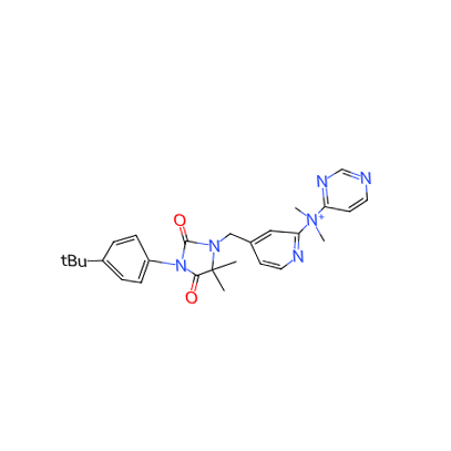 CC(C)(C)c1ccc(N2C(=O)N(Cc3ccnc([N+](C)(C)c4ccncn4)c3)C(C)(C)C2=O)cc1